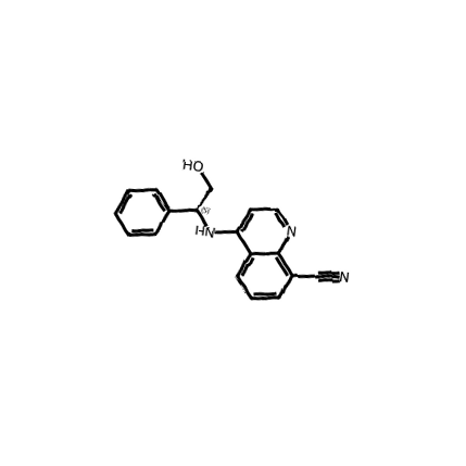 N#Cc1cccc2c(N[C@H](CO)c3ccccc3)ccnc12